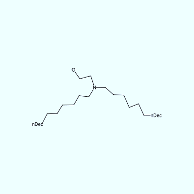 CCCCCCCCCCCCCCCCN(CC[O])CCCCCCCCCCCCCCCC